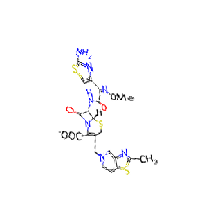 CO/N=C(\C(=O)NC1C(=O)N2C(C(=O)[O-])=C(C[n+]3ccc4sc(C)nc4c3)CS[C@@H]12)c1csc(N)n1